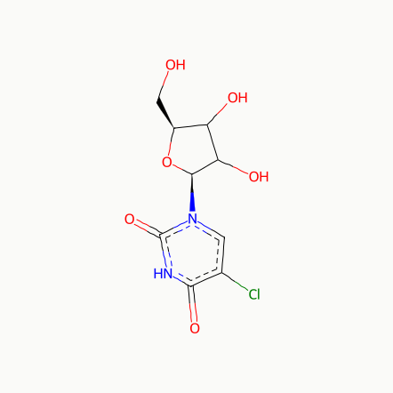 O=c1[nH]c(=O)n([C@H]2O[C@@H](CO)C(O)C2O)cc1Cl